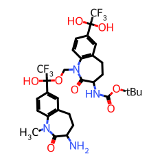 CN1C(=O)C(N)CCc2cc(C(O)(OCN3C(=O)C(NC(=O)OC(C)(C)C)CCc4cc(C(O)(O)C(F)(F)F)ccc43)C(F)(F)F)ccc21